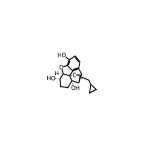 Oc1ccc2c3c1O[C@@H]1[C@@H](O)CC[C@]4(O)C(C2)N(CC2CC2)CC[C@@]314